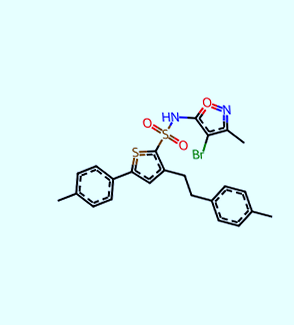 Cc1ccc(CCc2cc(-c3ccc(C)cc3)sc2S(=O)(=O)Nc2onc(C)c2Br)cc1